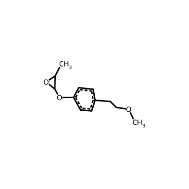 COCCc1ccc(OC2OC2C)cc1